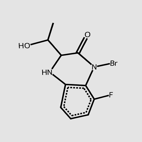 CC(O)C1Nc2cccc(F)c2N(Br)C1=O